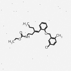 CCC/C(=C\c1ccccc1OCc1cc(Cl)ccc1C)CCNC(=O)OCC